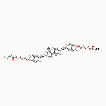 C=CC(=O)OCCCCOc1ccc2cc(C#Cc3ccc(-c4ccc(C#Cc5ccc6cc(OCCCCOC(=O)C=C)ccc6c5)cc4C)c(C)c3)ccc2c1